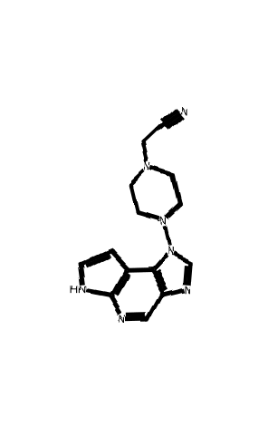 N#CCN1CCN(n2cnc3cnc4[nH]ccc4c32)CC1